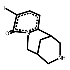 O=c1c(I)ccc2n1CC1CNCC2C1